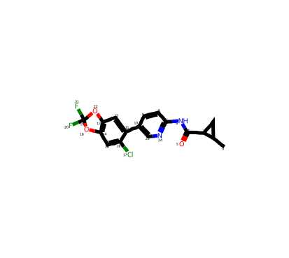 CC1CC1C(=O)Nc1ccc(-c2cc3c(cc2Cl)OC(F)(F)O3)cn1